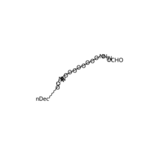 CCCCCCCCCCCCCCCCCCOc1ccc(Cn2cc(COCCOCCOCCOCCOCCOCCOCCOCCN3CCN(Cc4cccc(C=O)n4)CC3)nn2)cc1